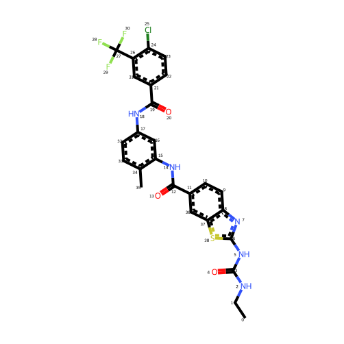 CCNC(=O)Nc1nc2ccc(C(=O)Nc3cc(NC(=O)c4ccc(Cl)c(C(F)(F)F)c4)ccc3C)cc2s1